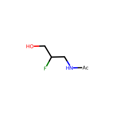 CC(=O)NCC(F)CO